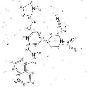 C=CC(=O)N1CCN(c2nc(OC[C@@H]3CCCN3C)nc3c2CN(Cc2cccc4ncccc24)C3)C[C@@H]1CC#N